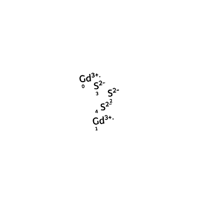 [Gd+3].[Gd+3].[S-2].[S-2].[S-2]